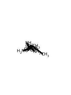 CCCCCCCCCCOC(=O)CC[C@@H](C)[C@H]1CC[C@H]2C3[C@H](OC(=O)CCN)CC4C[C@H](OC(=O)CCN)CC[C@]4(C)[C@H]3C[C@H](OC(=O)CCN)[C@]12C